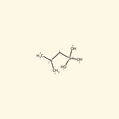 CN(C)C[Si](O)(O)O